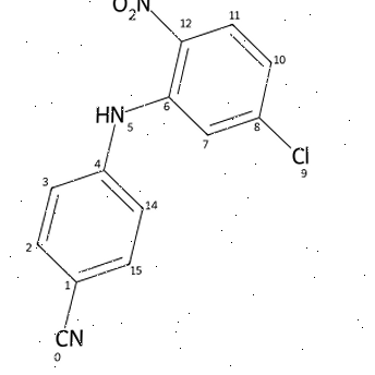 N#Cc1ccc(Nc2cc(Cl)ccc2[N+](=O)[O-])cc1